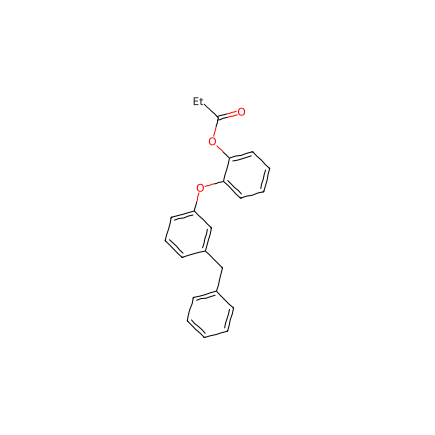 CCC(=O)Oc1ccccc1Oc1cccc(Cc2ccccc2)c1